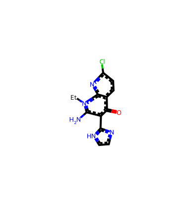 CCn1c(N)c(-c2ncc[nH]2)c(=O)c2ccc(Cl)nc21